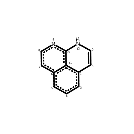 C1=Cc2cccc3ccnc(c23)N1